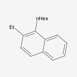 CCCCCCc1c(CC)ccc2ccccc12